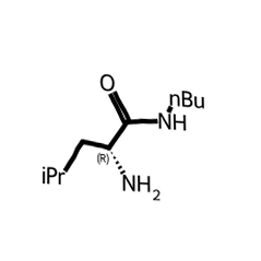 CCCCNC(=O)[C@H](N)CC(C)C